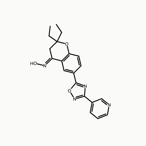 CCC1(CC)C/C(=N\O)c2cc(-c3nc(-c4cccnc4)no3)ccc2O1